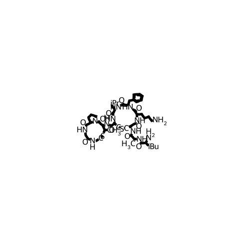 CCC(C)C(N)C(=O)NC(C)C(=O)NC1CSCC(C(=O)NC2C(=O)N3CCCC3C(=O)NCC(=O)NCCSC2C)NC(=O)C(CC(C)C)NC(=O)C(Cc2ccccc2)NC(=O)C(CCCCN)NC1=O